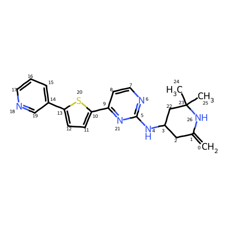 C=C1CC(Nc2nccc(-c3ccc(-c4cccnc4)s3)n2)CC(C)(C)N1